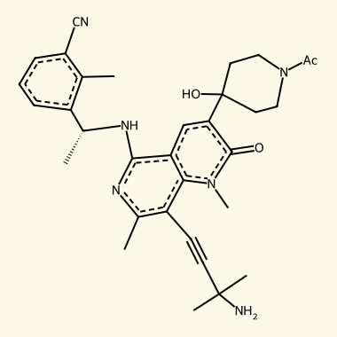 CC(=O)N1CCC(O)(c2cc3c(N[C@H](C)c4cccc(C#N)c4C)nc(C)c(C#CC(C)(C)N)c3n(C)c2=O)CC1